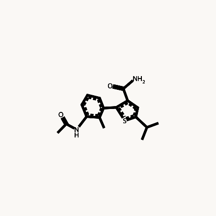 CC(=O)Nc1cccc(-c2sc(C(C)C)cc2C(N)=O)c1C